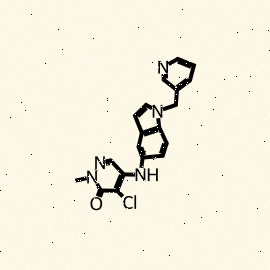 Cn1ncc(Nc2ccc3c(ccn3Cc3cccnc3)c2)c(Cl)c1=O